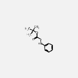 CC(C)(C)OC(=O)SNc1ccccc1